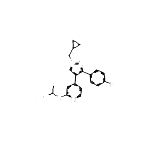 CC(Nc1cc(-c2cn(CC3CC3)nc2-c2ccc(F)cc2)ccn1)C(F)(F)F